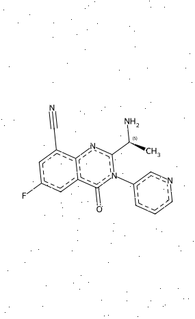 C[C@H](N)c1nc2c(C#N)cc(F)cc2c(=O)n1-c1cccnc1